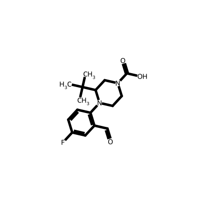 CC(C)(C)C1CN(C(=O)O)CCN1c1ccc(F)cc1C=O